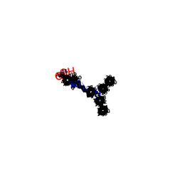 C[N+]1=C(/C=C/C=C/c2ccc(N(c3ccc(-c4ccccc4)cc3)c3ccc(-c4ccccc4)cc3)cc2)C(C)(C)c2cc(C(=O)O)ccc21